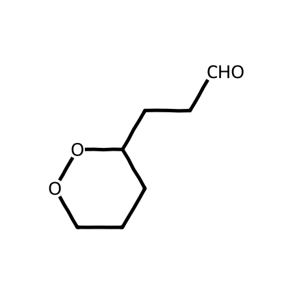 O=CCCC1CCCOO1